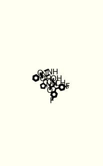 CN(C(=O)O)[C@H](C(=O)N[C@@H]1CCC[C@H]1CC[C@H]1CNCCN1S(=O)(=O)c1ccccc1)C(c1ccc(F)cc1)c1ccc(F)cc1